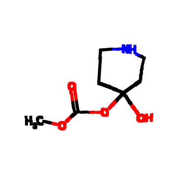 COC(=O)OC1(O)CCNCC1